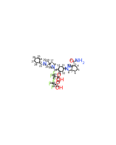 NC(=O)c1cccc2cn(-c3ccc(CN4CCC5(CCN(Cc6ccccc6)C5)C4)cc3)nc12.O=C(O)C(F)(F)F.O=C(O)C(F)(F)F